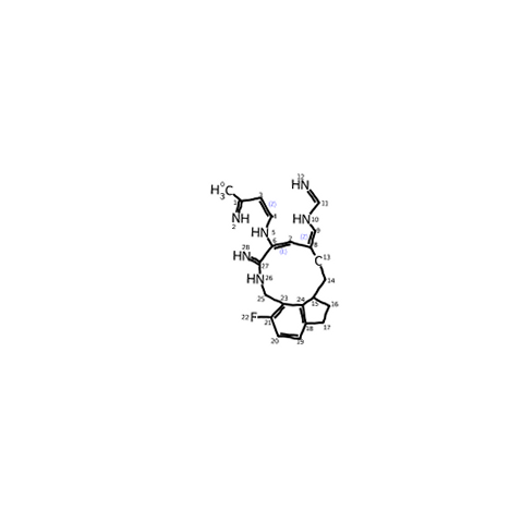 CC(=N)/C=C\N/C1=C/C(=C\NC=N)CCC2CCc3ccc(F)c(c32)CNC1=N